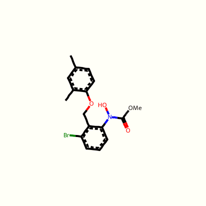 COC(=O)N(O)c1cccc(Br)c1COc1ccc(C)cc1C